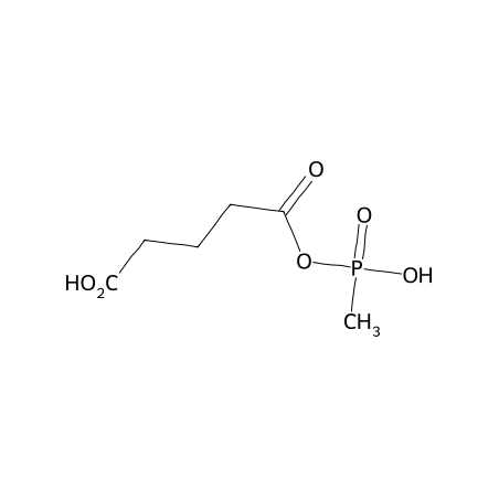 CP(=O)(O)OC(=O)CCCC(=O)O